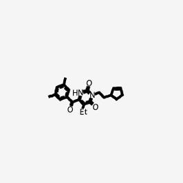 CCc1c(C(=O)c2cc(C)cc(C)c2)[nH]c(=O)n(CCC2C=CCC2)c1=O